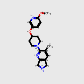 COc1ccc(OC2CCN(c3nc4c(cc3C)CNC4)CC2)cn1